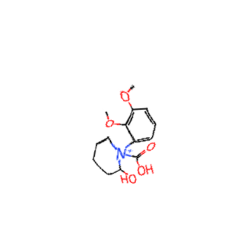 COc1cccc([N+]2(C(=O)O)CCCCC2O)c1OC